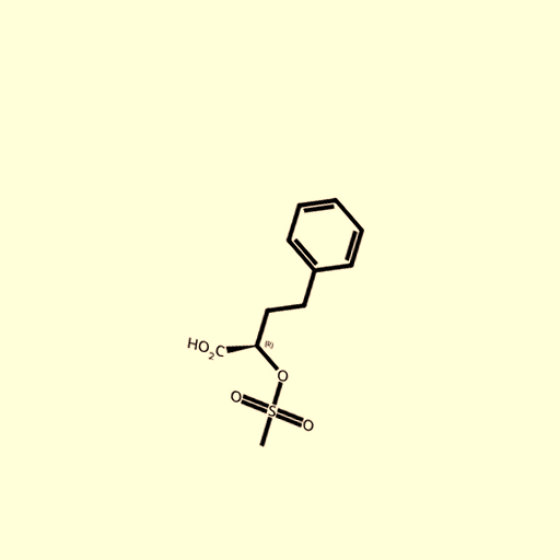 CS(=O)(=O)O[C@H](CCc1ccccc1)C(=O)O